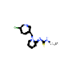 CCOC(=O)NC(=S)/N=c1\ccccn1CC1=CC=C(Cl)CN=C1